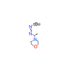 C[C@H](N=C=NC(C)(C)C)N1CCOCC1